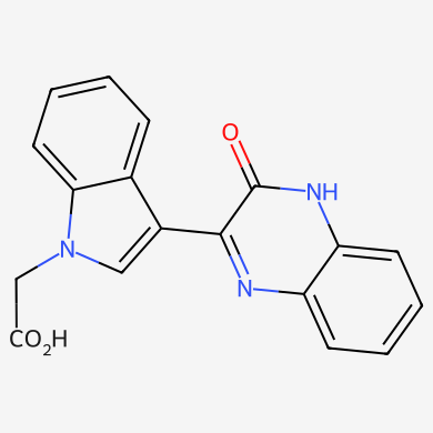 O=C(O)Cn1cc(-c2nc3ccccc3[nH]c2=O)c2ccccc21